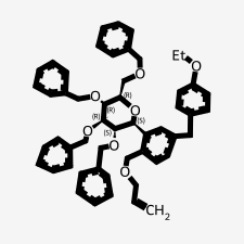 C=CCOCc1ccc(Cc2ccc(OCC)cc2)cc1[C@@H]1O[C@H](COCc2ccccc2)[C@@H](OCc2ccccc2)[C@H](OCc2ccccc2)[C@H]1OCc1ccccc1